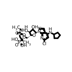 CNS(=O)(=O)CC(C)(OC[C@H]1O[C@@H](n2ncc3c(NC4CCCC4)cc(Cl)nc32)[C@H](O)[C@@H]1O)P(=O)(O)O